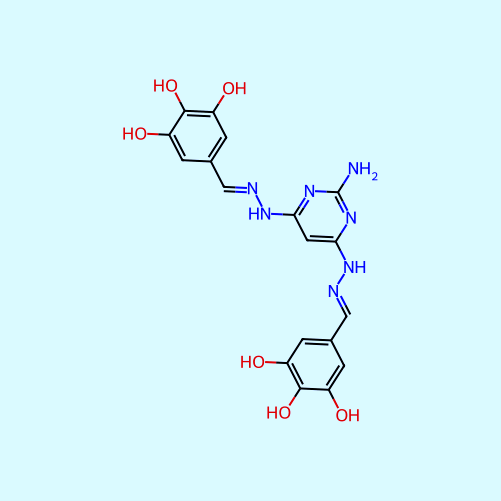 Nc1nc(N/N=C/c2cc(O)c(O)c(O)c2)cc(N/N=C/c2cc(O)c(O)c(O)c2)n1